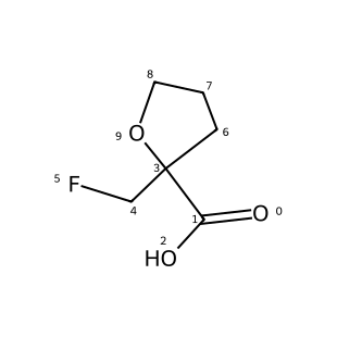 O=C(O)C1(CF)CCCO1